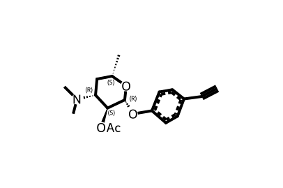 C#Cc1ccc(O[C@H]2O[C@@H](C)C[C@@H](N(C)C)[C@@H]2OC(C)=O)cc1